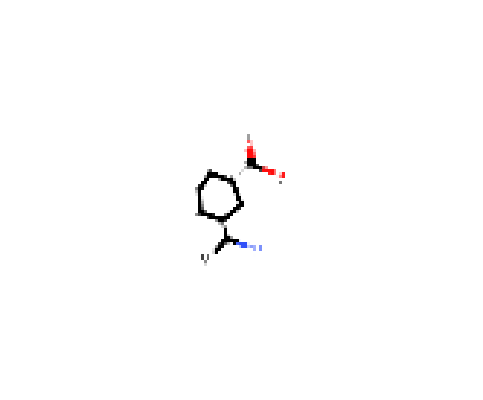 CC(N)[C@H]1CCC[C@H](C(=O)O)C1